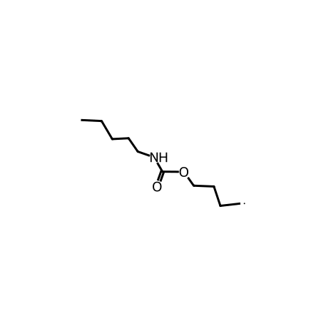 [CH2]CCCOC(=O)NCCCCC